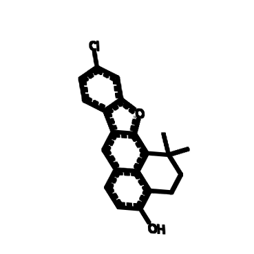 CC1(C)CCc2c(O)ccc3cc4c(oc5cc(Cl)ccc54)c1c23